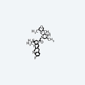 CC1CN(CC(=O)N2CC(C)(C)c3nc(C#N)c(Cc4ccc(F)cc4)cc32)[C@@H](CN2C(C)COC[C@H]2C)CN1